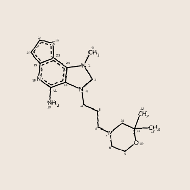 CN1CN(CCCN2CCOC(C)(C)C2)c2c(N)nc3ccsc3c21